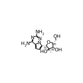 C[C@@]1(O)[C@H](O)[C@@H](CO)O[C@H]1c1ccc2c(N)nc(N)nn12